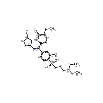 CCc1ccc(/C(=C\[C@H]2CCC(=O)C2)c2ccc(S(=O)(=O)CCCN(CC)CC)c(Cl)c2)[nH]c1=O